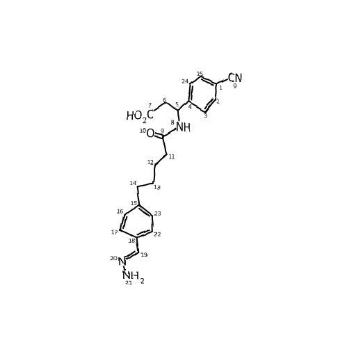 N#Cc1ccc(C(CC(=O)O)NC(=O)CCCCc2ccc(C=NN)cc2)cc1